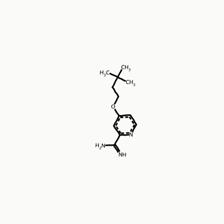 CC(C)(C)CCOc1ccnc(C(=N)N)c1